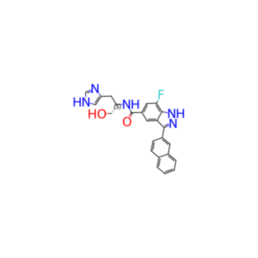 O=C(N[C@H](CO)Cc1c[nH]cn1)c1cc(F)c2[nH]nc(-c3ccc4ccccc4c3)c2c1